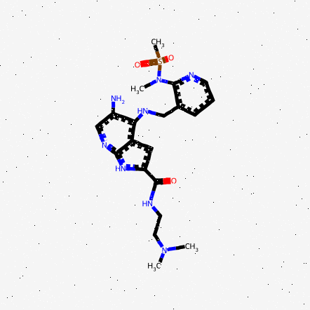 CN(C)CCNC(=O)c1cc2c(NCc3cccnc3N(C)S(C)(=O)=O)c(N)cnc2[nH]1